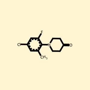 Cc1cc(Cl)cc(F)c1N1CCC(=O)CC1